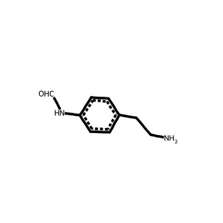 NCCc1ccc(NC=O)cc1